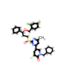 Cc1cc(-c2cc(F)c(=O)n(CC3CCCCC3)c2)nc([S+]([O-])CCC(OCc2ccc(F)cc2F)c2ccccc2)n1